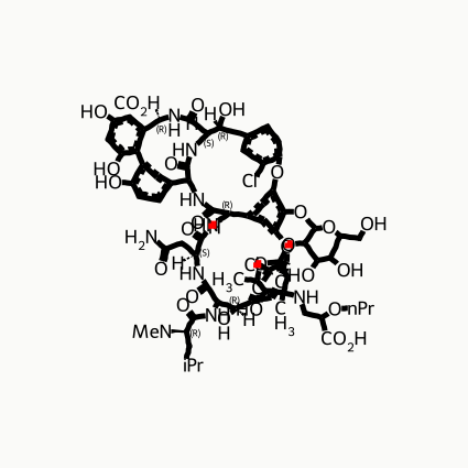 CCCOC(CNC1(C)CC(OC2C(Oc3c4cc5cc3Oc3ccc(cc3Cl)[C@@H](O)[C@@H]3NC(=O)C(NC(=O)[C@@H]5NC(=O)[C@H](CC(N)=O)NC(=O)C(NC(=O)[C@@H](CC(C)C)NC)[C@H](O)c5ccc(c(Cl)c5)O4)c4ccc(O)c(c4)-c4c(O)cc(O)cc4[C@H](C(=O)O)NC3=O)OC(CO)C(O)C2O)OC(C)C1O)C(=O)O